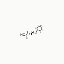 O=C(O)CON=Cc1cc[c]cc1